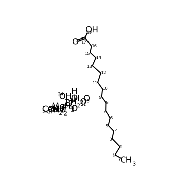 CCCCCCCCCCCCCCCCCC(=O)O.O.O.O=P(O)(O)O.[CaH2].[CaH2].[MgH2]